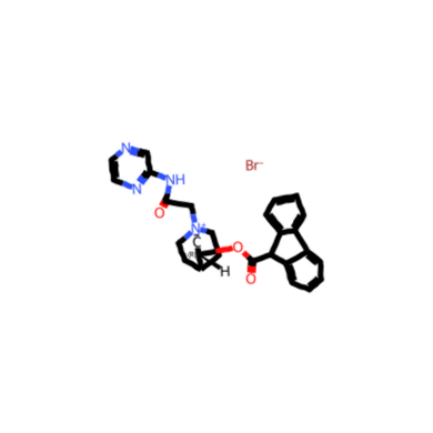 O=C(C[N+]12CCC(CC1)[C@@H](OC(=O)C1c3ccccc3-c3ccccc31)C2)Nc1cnccn1.[Br-]